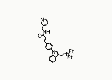 CCN(CC)CCc1cn(-c2ccc(/C=C/C(=O)NCc3cccnc3)cc2)c2ccccc12